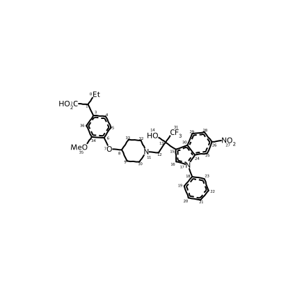 CCC(C(=O)O)c1ccc(OC2CCN(CC(O)(c3cn(-c4ccccc4)c4cc([N+](=O)[O-])ccc34)C(F)(F)F)CC2)c(OC)c1